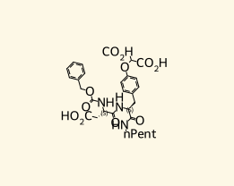 CCCCCNC(=O)[C@H](Cc1ccc(OC(C(=O)O)C(=O)O)cc1)NC(=O)[C@H](CC(=O)O)NC(=O)OCc1ccccc1